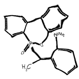 CNc1ccccc1C(C)P1(=O)Oc2ccccc2-c2ccccc21